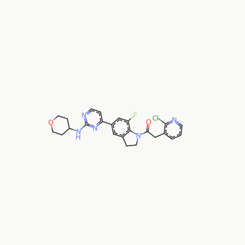 O=C(Cc1cccnc1Cl)N1CCc2cc(-c3ccnc(NC4CCOCC4)n3)cc(F)c21